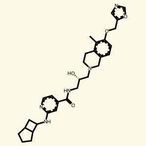 Cc1c(OCc2cnco2)ccc2c1CCN(C[C@@H](O)CNC(=O)c1ccnc(NC3CC4CCCC43)c1)C2